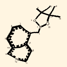 CC1(C)OB(Cc2cccc3cnccc23)OC1(C)C